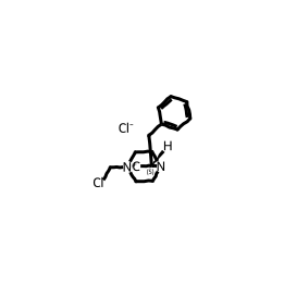 ClC[N+]12CCN(CC1)[C@@H](Cc1ccccc1)C2.[Cl-]